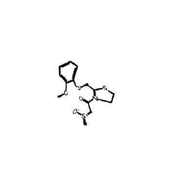 COc1ccccc1SCC1SCCN1C(=O)C[S+](C)[O-]